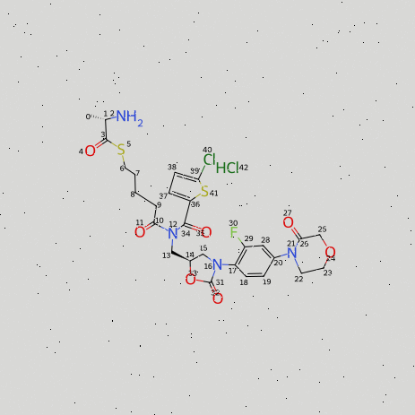 C[C@H](N)C(=O)SCCCCC(=O)N(C[C@H]1CN(c2ccc(N3CCOCC3=O)cc2F)C(=O)O1)C(=O)c1ccc(Cl)s1.Cl